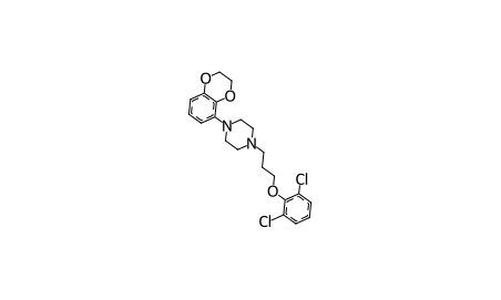 Clc1cccc(Cl)c1OCCCN1CCN(c2cccc3c2OCCO3)CC1